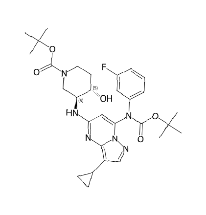 CC(C)(C)OC(=O)N1CC[C@H](O)[C@@H](Nc2cc(N(C(=O)OC(C)(C)C)c3cccc(F)c3)n3ncc(C4CC4)c3n2)C1